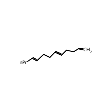 C=CCCC=CCCC=CCCC